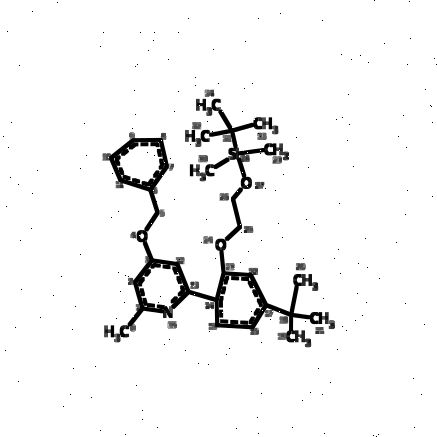 Cc1cc(OCc2ccccc2)cc(-c2ccc(C(C)(C)C)cc2OCCO[Si](C)(C)C(C)(C)C)n1